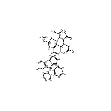 O=C([O-])CN(CC(=O)[O-])c1ccccc1N(CC(=O)[O-])CC(=O)[O-].[Fe+3].c1ccc([N+](c2ccccc2)(c2ccccc2)c2ccccc2)cc1